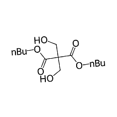 CCCCOC(=O)C(CO)(CO)C(=O)OCCCC